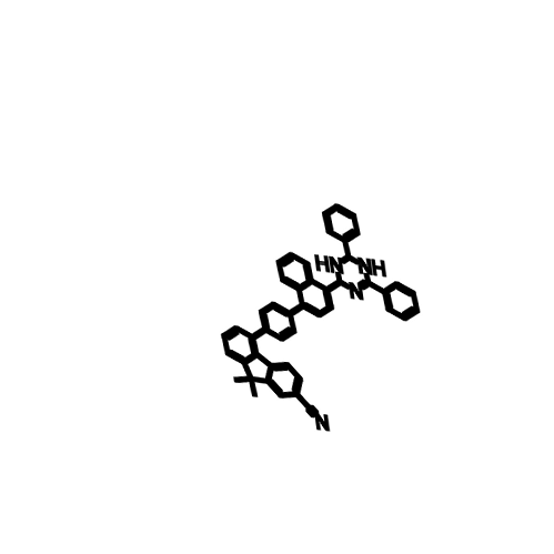 CC1(C)c2cc(C#N)ccc2-c2c(-c3ccc(-c4ccc(C5N=C(c6ccccc6)NC(c6ccccc6)N5)c5ccccc45)cc3)cccc21